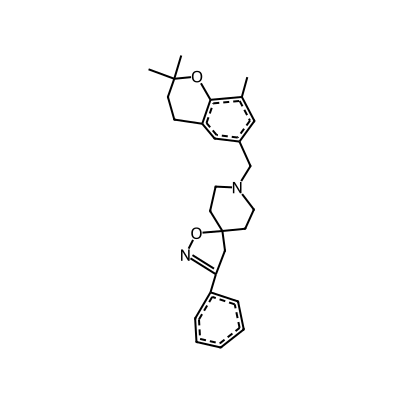 Cc1cc(CN2CCC3(CC2)CC(c2ccccc2)=NO3)cc2c1OC(C)(C)CC2